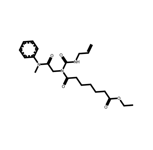 C=CCNC(=O)N(CC(=O)N(C)c1ccccc1)C(=O)CCCCCC(=O)OCC